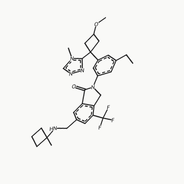 CCc1cc(N2Cc3c(cc(CNC4(C)CCC4)cc3C(F)(F)F)C2=O)cc(C2(c3nncn3C)CC(OC)C2)c1